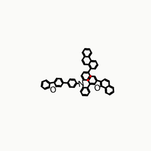 c1ccc(N(c2ccc(-c3ccc4c(c3)oc3ccccc34)cc2)c2ccc(-c3cccc4c3ccc3ccccc34)cc2)c(-c2cccc3c2oc2c4ccccc4ccc32)c1